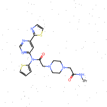 CC(C)NC(=O)CN1CCN(CC(=O)N(c2cc(-c3nccs3)ncn2)c2cccs2)CC1